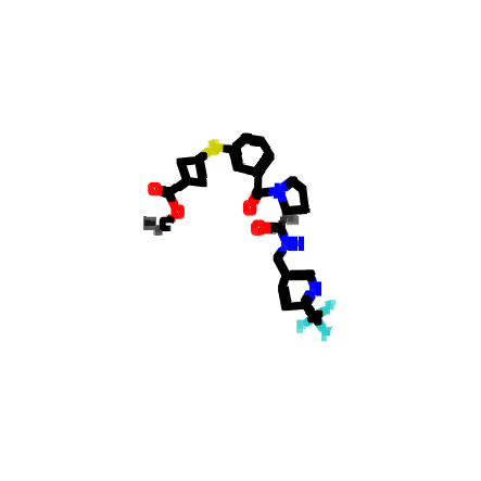 COC(=O)C1CC(Sc2cccc(C(=O)N3CCC[C@@H]3C(=O)NCc3ccc(C(F)(F)F)nc3)c2)C1